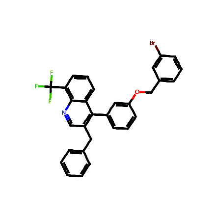 FC(F)(F)c1cccc2c(-c3cccc(OCc4cccc(Br)c4)c3)c(Cc3ccccc3)cnc12